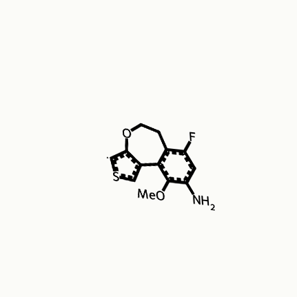 COc1c(N)cc(F)c2c1-c1cs[c]c1OCC2